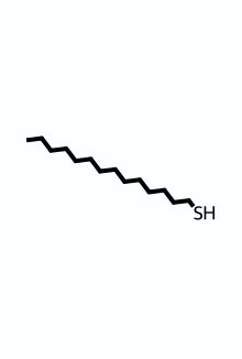 CCCCCCCCCCCCCCS